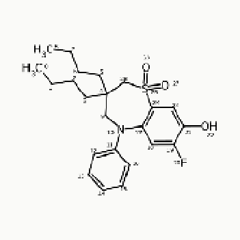 CCCCC1(CCCC)CN(c2ccccc2)c2cc(F)c(O)cc2S(=O)(=O)C1